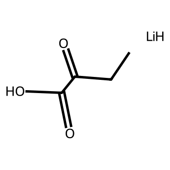 CCC(=O)C(=O)O.[LiH]